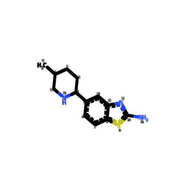 CC1CCC(c2ccc3sc(N)nc3c2)NC1